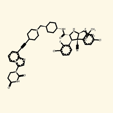 CC(C)(C)C[C@@H]1N[C@@H](C(=O)N[C@H]2CC[C@H](CN3CCC(C#Cc4cccn5c(N6CCC(=O)NC6=O)cnc45)CC3)CC2)[C@H](c2cccc(Cl)c2F)[C@@]1(C#N)c1ccc(Cl)cc1F